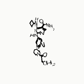 C=CC(=O)N1CCC[C@@H](n2cc(Nc3ncc(C(N)=O)c(NC4CCC4)n3)cn2)C1